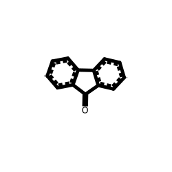 O=C1c2c[c]ccc2-c2cc[c]cc21